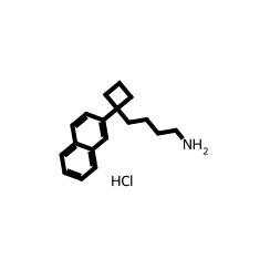 Cl.NCCCCC1(c2ccc3ccccc3c2)CCC1